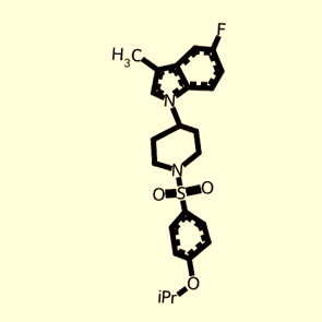 Cc1cn(C2CCN(S(=O)(=O)c3ccc(OC(C)C)cc3)CC2)c2ccc(F)cc12